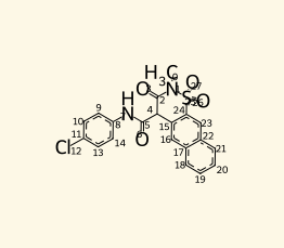 CN1C(=O)C(C(=O)Nc2ccc(Cl)cc2)c2cc3ccccc3cc2S1(=O)=O